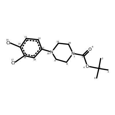 CC(C)(C)OC(=O)N1CCN(c2ccc(Cl)c(Cl)c2)CC1